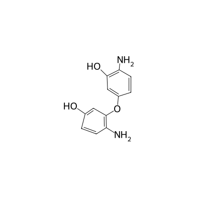 Nc1ccc(Oc2cc(O)ccc2N)cc1O